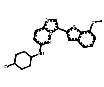 COc1cccc2cc(-c3cnc4ccc(NC5CCC(O)CC5)nn34)sc12